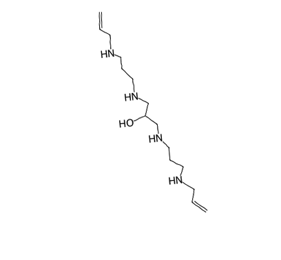 C=CCNCCCNCC(O)CNCCCNCC=C